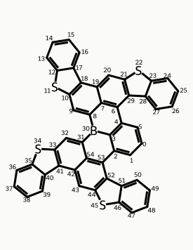 c1cc2c3c(c1)-c1c4c(cc5sc6ccccc6c5c4cc4sc5ccccc5c14)B3c1cc3sc4ccccc4c3c3cc4sc5ccccc5c4c-2c13